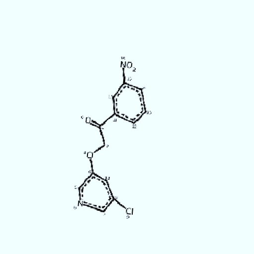 O=C(COc1cncc(Cl)c1)c1cccc([N+](=O)[O-])c1